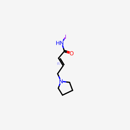 O=C(/C=C/CN1CCCC1)NI